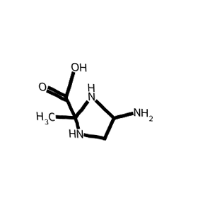 CC1(C(=O)O)NCC(N)N1